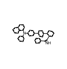 c1ccc(C2=C(c3ccccc3-c3ccc(-c4ccc(N(c5ccccc5)c5cccc6ccccc56)cc4)cc3)N2)cc1